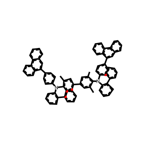 Cc1cc(-c2cc(C)c(N(c3ccc(-c4cc5ccccc5c5ccccc45)cc3)c3ccccc3-c3ccccc3)c(C)c2)cc(C)c1N(c1ccc(-c2cc3ccccc3c3ccccc23)cc1)c1ccccc1-c1ccccc1